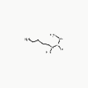 CCN(NN)N(N)CCCCN